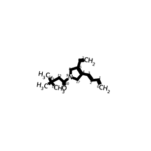 C=C/C=C/C1=C(C=C)CN(C(=O)CC(C)(C)C)C1